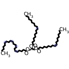 CCCCC/C=C\C/C=C\C/C=C\C/C=C\CCCC(=O)OC[C@H](COC(=O)CCCCCCC/C=C\CCCCCCCC)OC(=O)CCCCCCC/C=C\CCCCCCCC